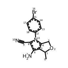 CC1OCc2c1c(N)c(C#N)n2-c1ccc(Br)cc1